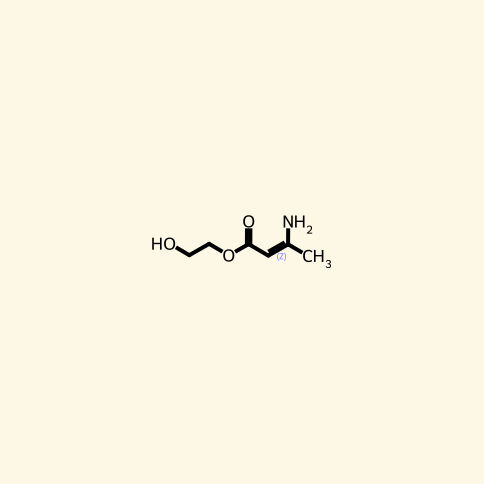 C/C(N)=C/C(=O)OCCO